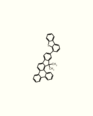 CC1(C)c2cc(-c3cccc4c3sc3ccccc34)ccc2-c2ccc3c4ccccc4c4ccccc4c3c21